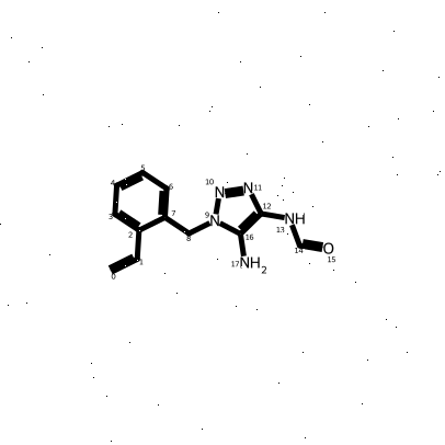 C=Cc1ccccc1Cn1nnc(NC=O)c1N